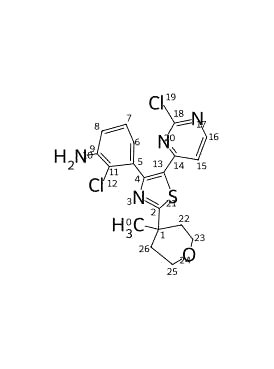 CC1(c2nc(-c3cccc(N)c3Cl)c(-c3ccnc(Cl)n3)s2)CCOCC1